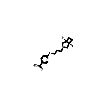 O=C(O)c1ccc(OCCCN2C[C@H]3CC[C@H]3C2)cc1